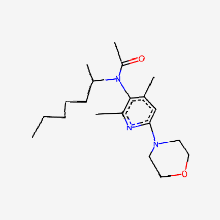 CCCCCC(C)N(C(C)=O)c1c(C)cc(N2CCOCC2)nc1C